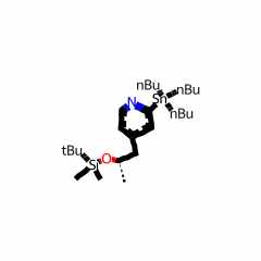 CCC[CH2][Sn]([CH2]CCC)([CH2]CCC)[c]1cc(C[C@H](C)O[Si](C)(C)C(C)(C)C)ccn1